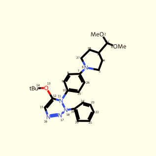 COC(OC)C1CCN(c2ccc(N3C(OC(C)(C)C)=CN=NN3c3ccccc3)cc2)CC1